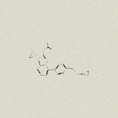 C1CC1.O=C(O)Nc1nc2cccc(-c3ccc(CNC4CC4)cc3)n2n1